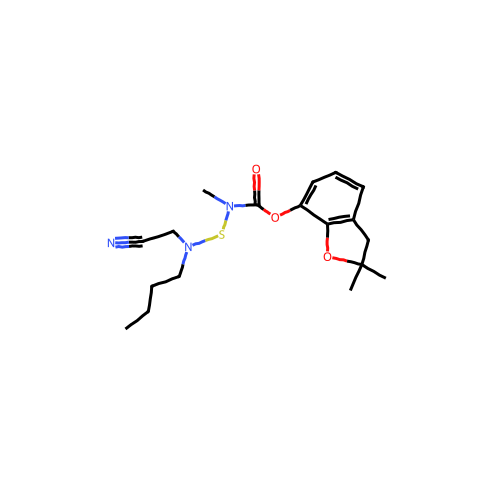 CCCCN(CC#N)SN(C)C(=O)Oc1cccc2c1OC(C)(C)C2